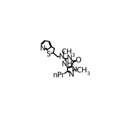 CCCc1nn(C)c2c(=O)[nH]c(N(C)CC3Cc4cccnc4S3)nc12